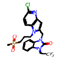 CS(=O)(=O)CCCn1c(Cn2c(=O)n(CC(F)(F)F)c3ccccc32)cc2nc(Cl)ccc21